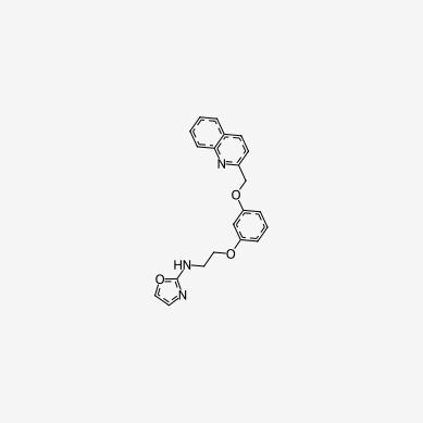 c1cc(OCCNc2ncco2)cc(OCc2ccc3ccccc3n2)c1